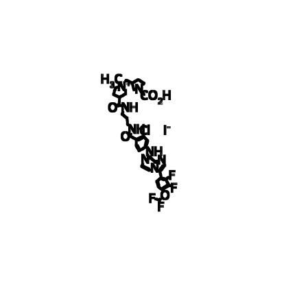 C[N+]1(CC2CCN(C(=O)O)C2)CCC(C(=O)NCCCNC(=O)c2ccc(Nc3nccn4c(-c5ccc(OC(F)F)c(F)c5F)cnc34)cc2Cl)CC1.[I-]